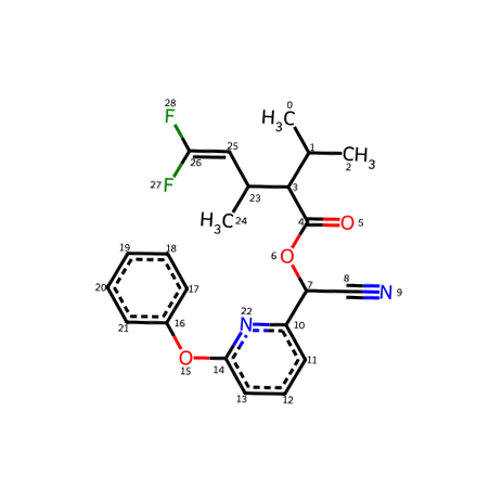 CC(C)C(C(=O)OC(C#N)c1cccc(Oc2ccccc2)n1)C(C)C=C(F)F